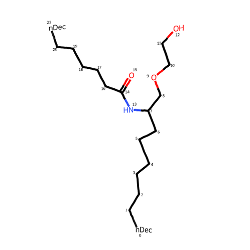 CCCCCCCCCCCCCCCCC(COCCO)NC(=O)CCCCCCCCCCCCCCC